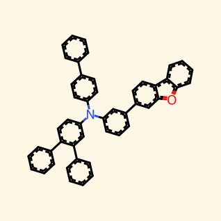 c1ccc(-c2ccc(N(c3cccc(-c4ccc5c(c4)oc4ccccc45)c3)c3ccc(-c4ccccc4)c(-c4ccccc4)c3)cc2)cc1